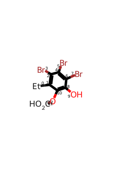 CCc1c(Br)c(Br)c(Br)c(O)c1OC(=O)O